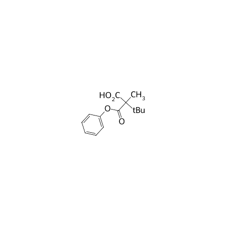 CC(C)(C)C(C)(C(=O)O)C(=O)Oc1ccccc1